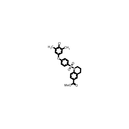 COC(=O)c1ccc2c(c1)CCCN2S(=O)(=O)c1ccc(Oc2cc(C)c(Cl)c(C)c2)cc1